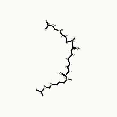 CC(C)OCOCCCN(C)C(=O)CCCCCCC(=O)N(C)CCCOCOC(C)C